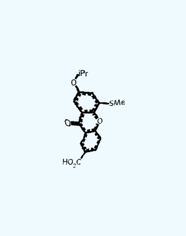 CSc1cc(OC(C)C)cc2c(=O)c3cc(C(=O)O)ccc3oc12